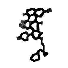 CCc1c(F)ccc2cc(O)cc(-c3nc(OC)c4c(N5CCNCC5)nc(OCCC5(CN6CCCC6)CC5)nc4c3F)c12